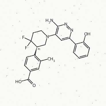 Cc1cc(C(=O)O)ccc1[C@@H]1CN(c2cc(-c3ccccc3O)nnc2N)CCC1(F)F